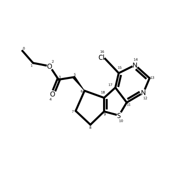 CCOC(=O)C[C@@H]1CCc2sc3ncnc(Cl)c3c21